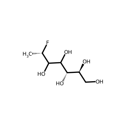 C[C@H](F)C(O)C(O)[C@@H](O)[C@@H](O)CO